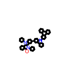 O=c1c2ccccc2c2c(c3cc(-c4ccc5c(c4)c4ccccc4n5-c4ccc5c6ccccc6c6ccccc6c5c4)ccc3n2-c2ccccc2)n1-c1ccccc1